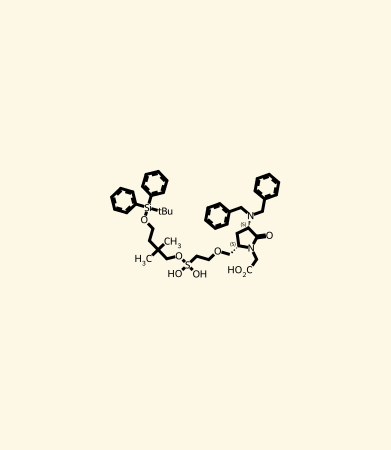 CC(C)(CCO[Si](c1ccccc1)(c1ccccc1)C(C)(C)C)COS(O)(O)CCOC[C@@H]1C[C@H](N(Cc2ccccc2)Cc2ccccc2)C(=O)N1CC(=O)O